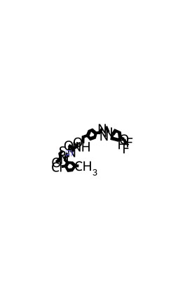 Cc1ccc(Cl)c(N2C(=O)CS/C2=N\C(=O)NOCCc2ccc(-c3ncn(-c4ccc(OC(F)(F)F)cc4)n3)cc2)c1